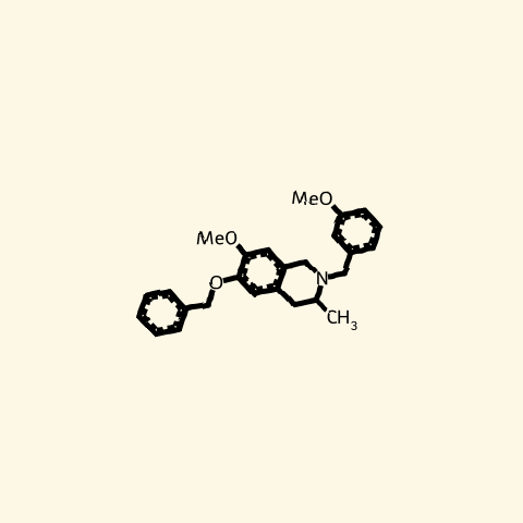 COc1cccc(CN2Cc3cc(OC)c(OCc4ccccc4)cc3CC2C)c1